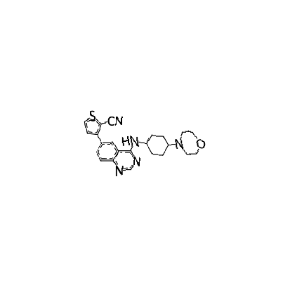 N#Cc1sccc1-c1ccc2ncnc(NC3CCC(N4CCOCC4)CC3)c2c1